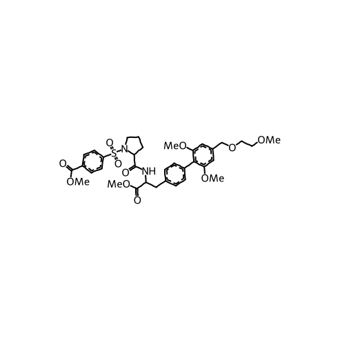 COCCOCc1cc(OC)c(-c2ccc(CC(NC(=O)C3CCCN3S(=O)(=O)c3ccc(C(=O)OC)cc3)C(=O)OC)cc2)c(OC)c1